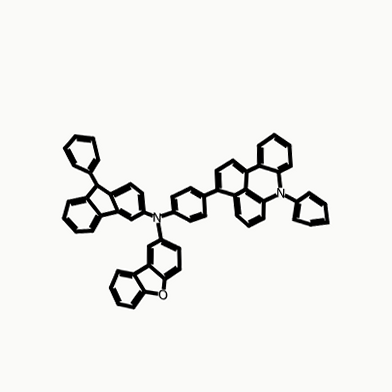 c1ccc(C2c3ccccc3-c3cc(N(c4ccc(-c5ccc6c7c(cccc57)N(c5ccccc5)c5ccccc5-6)cc4)c4ccc5oc6ccccc6c5c4)ccc32)cc1